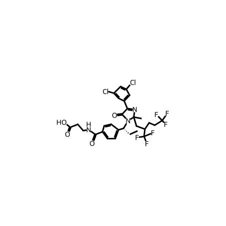 CC[C@H](c1ccc(C(=O)NCCC(=O)O)cc1)N1C(=O)C(c2cc(Cl)cc(Cl)c2)=NC1(C)CC(CCC(F)(F)F)C(F)(F)F